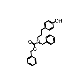 O=C(OCc1ccccc1)N(CCCc1ccc(O)cc1)Cc1ccccc1